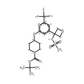 CC(C)(C)OC(=O)N1CCC(Oc2cc(C3(OS(C)(=O)=O)COC3)cc(C(F)(F)F)n2)CC1